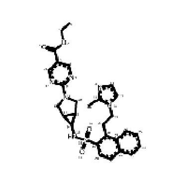 CCOC(=O)c1cnc(N2CC3C(C2)C3NS(=O)(=O)c2ccc3ccccc3c2CCn2ccnc2C)nc1